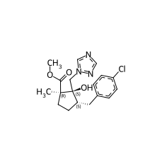 COC(=O)[C@]1(C)CC[C@@H](Cc2ccc(Cl)cc2)[C@@]1(O)Cn1cncn1